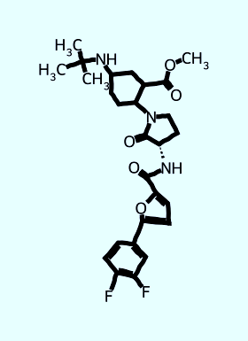 COC(=O)C1CC(NC(C)(C)C)CCC1N1CC[C@H](NC(=O)c2ccc(-c3ccc(F)c(F)c3)o2)C1=O